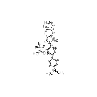 CN(C)c1ccc(-c2cnc(-n3cnn(CC(CN)=C(F)F)c3=O)cn2)cn1.O=C(O)C(F)(F)F